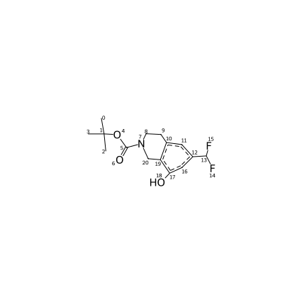 CC(C)(C)OC(=O)N1CCc2cc(C(F)F)cc(O)c2C1